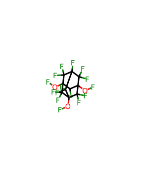 FOC12C(F)C3(OF)C(F)(F)C(F)(C1(F)F)C(F)(F)C(OF)(C2(F)F)C3(F)F